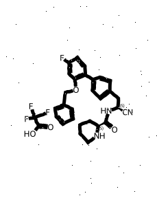 N#C[C@H](Cc1ccc(-c2ccc(F)cc2OCc2ccccc2)cc1)NC(=O)[C@@H]1CCCCN1.O=C(O)C(F)(F)F